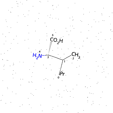 CC(C)C(C)[C@H](N)C(=O)O